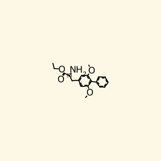 CCOC(=O)[C@@H](N)Cc1cc(OC)c(-c2ccccc2)c(OC)c1